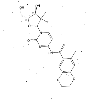 Cc1cc2c(cc1C(=O)Nc1ccn(C3O[C@H](CO)[C@@H](O)C3(C)F)c(=O)n1)OCCO2